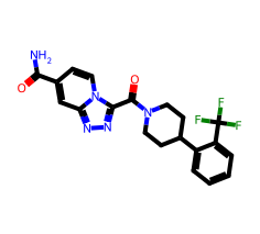 NC(=O)c1ccn2c(C(=O)N3CCC(c4ccccc4C(F)(F)F)CC3)nnc2c1